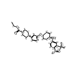 CCOC(=O)N1CCN(c2ccnc(O[C@H]3CC[C@H](Nc4ccc([N+](=O)[O-])c(C(F)(F)F)c4)CC3)c2)CC1